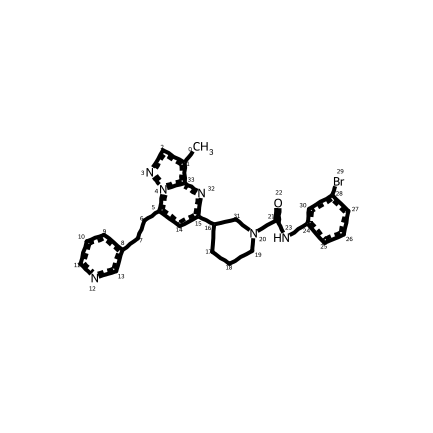 Cc1cnn2c(CCc3cccnc3)cc(C3CCCN(C(=O)Nc4cccc(Br)c4)C3)nc12